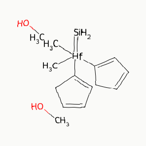 CO.CO.[CH3][Hf]([CH3])(=[SiH2])([C]1=CC=CC1)[C]1=CC=CC1